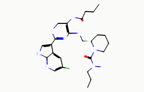 CCCC(=O)NC1=C(NC[C@H]2CCCCN2C(=O)N(N)CCC)N=C(C2=CNC3NC=C(Cl)C=C23)NC1